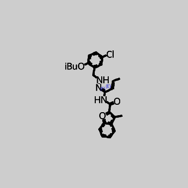 C/C=C/C(=N\NCc1cc(Cl)ccc1OCC(C)C)NC(=O)c1oc2ccccc2c1C